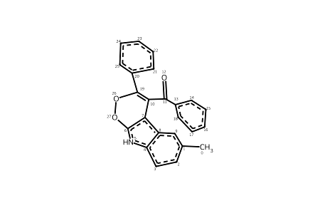 Cc1ccc2[nH]c3c(c2c1)C(C(=O)c1ccccc1)=C(c1ccccc1)OO3